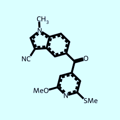 COc1cc(C(=O)c2ccc3c(c2)c(C#N)cn3C)cc(SC)n1